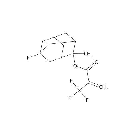 C=C(C(=O)OC1(C)C2CC3CC1CC(F)(C3)C2)C(F)(F)F